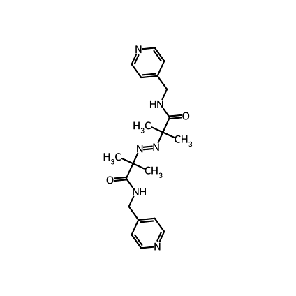 CC(C)(/N=N/C(C)(C)C(=O)NCc1ccncc1)C(=O)NCc1ccncc1